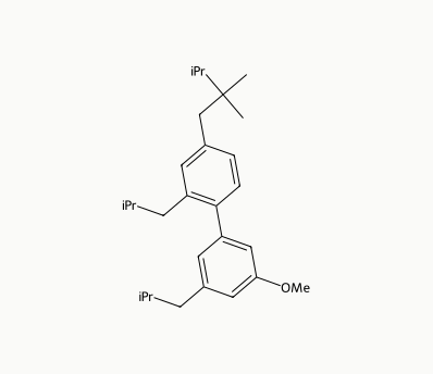 COc1cc(CC(C)C)cc(-c2ccc(CC(C)(C)C(C)C)cc2CC(C)C)c1